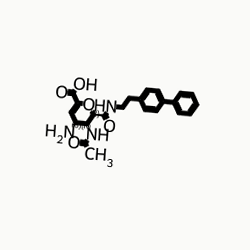 CC(=O)N[C@@H]1[C@@H](N)C=C(C(=O)O)O[C@H]1C(=O)NCCc1ccc(-c2ccccc2)cc1